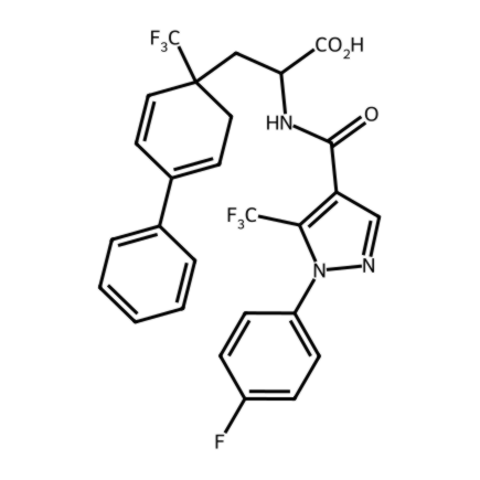 O=C(NC(CC1(C(F)(F)F)C=CC(c2ccccc2)=CC1)C(=O)O)c1cnn(-c2ccc(F)cc2)c1C(F)(F)F